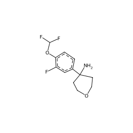 NC1(c2ccc(OC(F)F)c(F)c2)CCOCC1